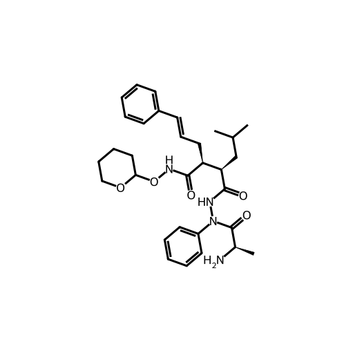 CC(C)C[C@@H](C(=O)NN(C(=O)[C@@H](C)N)c1ccccc1)[C@H](CC=Cc1ccccc1)C(=O)NOC1CCCCO1